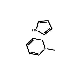 CN1C=CC=CC1.c1cc[nH]c1